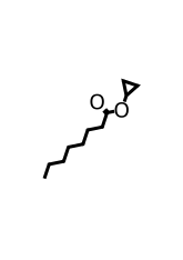 CCCCCCCC(=O)OC1CC1